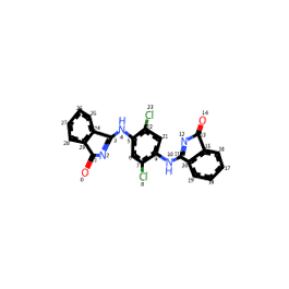 O=C1N=C(Nc2cc(Cl)c(NC3=NC(=O)c4ccccc43)cc2Cl)c2ccccc21